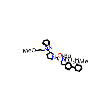 COCCCn1c([C@@H]2CCCN(C(=O)C[C@@H](Cc3ccc(-c4ccccc4OC)cc3)N(C(=O)O)C(C)(C)C)C2)nc2ccccc21